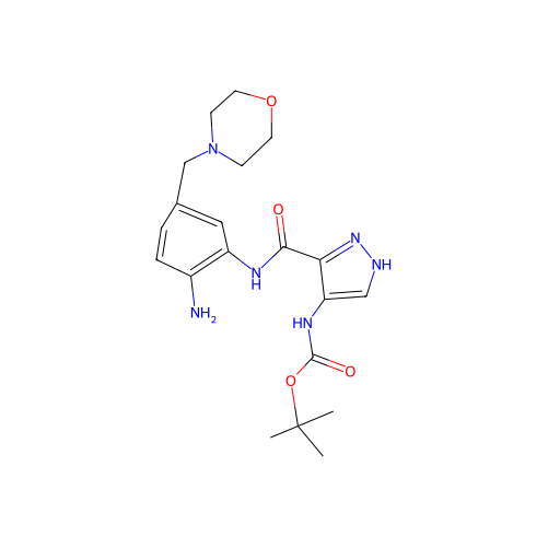 CC(C)(C)OC(=O)Nc1c[nH]nc1C(=O)Nc1cc(CN2CCOCC2)ccc1N